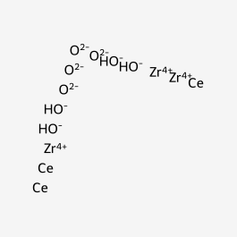 [Ce].[Ce].[Ce].[O-2].[O-2].[O-2].[O-2].[OH-].[OH-].[OH-].[OH-].[Zr+4].[Zr+4].[Zr+4]